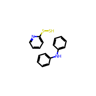 SSc1ccccn1.c1ccc(Nc2ccccc2)cc1